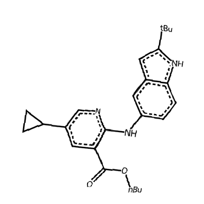 CCCCOC(=O)c1cc(C2CC2)cnc1Nc1ccc2[nH]c(C(C)(C)C)cc2c1